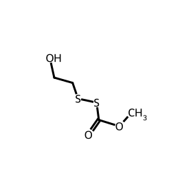 COC(=O)SSCCO